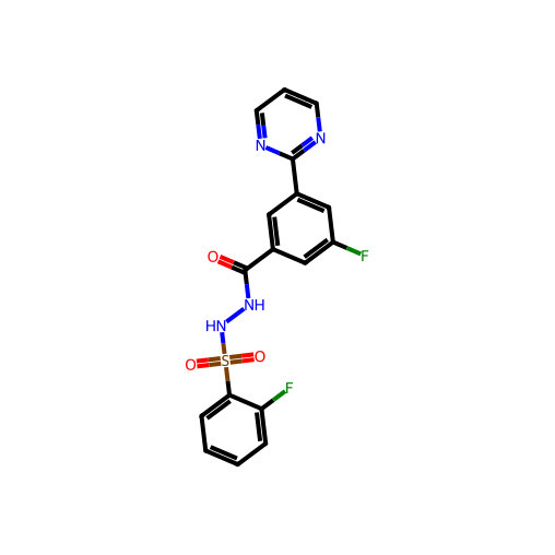 O=C(NNS(=O)(=O)c1ccccc1F)c1cc(F)cc(-c2ncccn2)c1